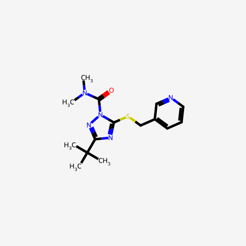 CN(C)C(=O)n1nc(C(C)(C)C)nc1SCc1cccnc1